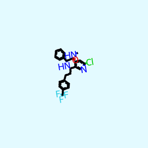 CNC(=O)C(NC(CCc1ccc(C(F)(F)F)cc1)c1ccc(Cl)nc1)c1ccccc1